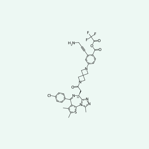 Cc1sc2c(c1C)C(c1ccc(Cl)cc1)=N[C@@H](CC(=O)N1CC3(C1)CN(c1ccc(C(=O)OC(=O)C(F)(F)F)c(C#CCN)c1)C3)c1nnc(C)n1-2